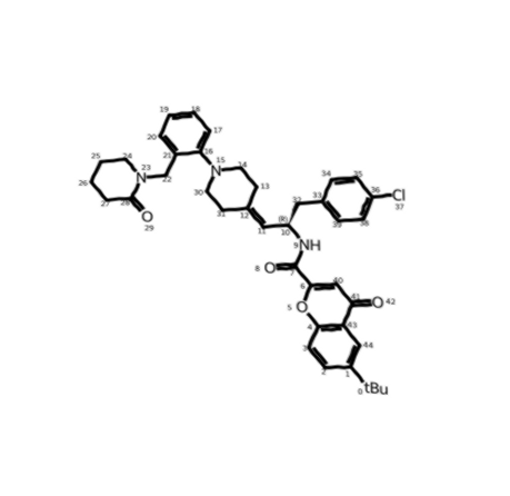 CC(C)(C)c1ccc2oc(C(=O)N[C@@H](C=C3CCN(c4ccccc4CN4CCCCC4=O)CC3)Cc3ccc(Cl)cc3)cc(=O)c2c1